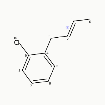 C/C=C/Cc1ccccc1Cl